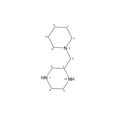 C1CCN(CC2CNCCN2)CC1